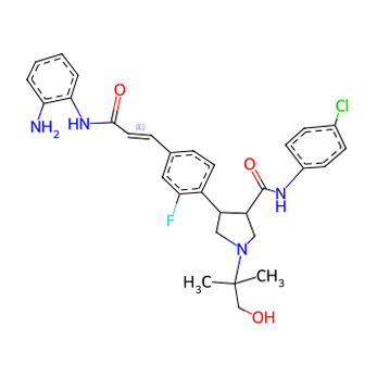 CC(C)(CO)N1CC(C(=O)Nc2ccc(Cl)cc2)C(c2ccc(/C=C/C(=O)Nc3ccccc3N)cc2F)C1